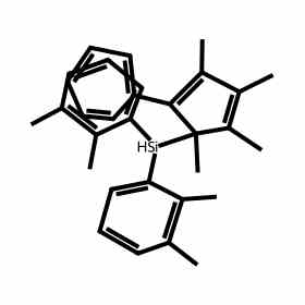 CC1=C(C)C(C)([SiH](c2cccc(C)c2C)c2cccc(C)c2C)C(c2ccccc2)=C1C